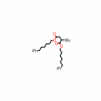 CCCCC(CC(=O)OCCCCCCC(C)C)C(=O)OCCCCCCC(C)C